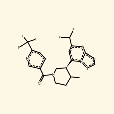 CC1CCN(C(=O)c2ccc(C(F)(F)F)nc2)C[C@H]1c1cc(C(F)F)nc2ncnn12